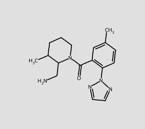 Cc1ccc(-n2nccn2)c(C(=O)N2CCCC(C)C2CN)c1